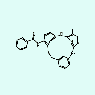 O=C(Nc1ccc2cc1CCc1cccc(c1)Nc1ncc(Cl)c(n1)N2)c1ccccc1